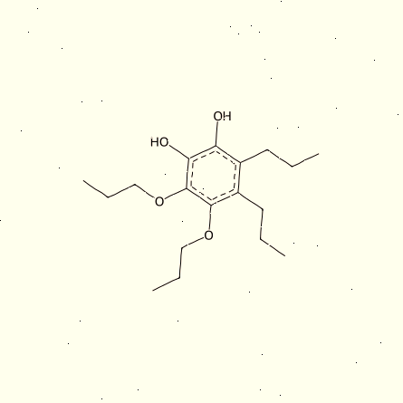 CCCOc1c(O)c(O)c(CCC)c(CCC)c1OCCC